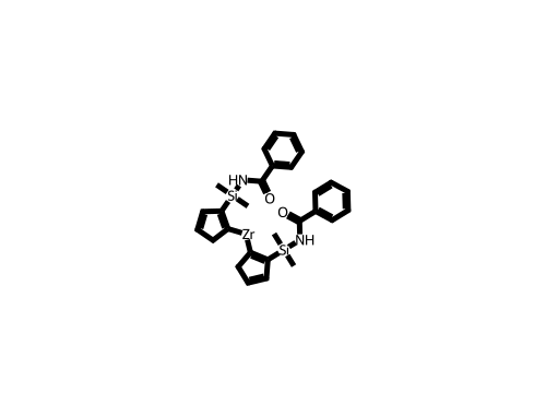 C[Si](C)(NC(=O)c1ccccc1)C1=[C]([Zr][C]2=C([Si](C)(C)NC(=O)c3ccccc3)C=CC2)CC=C1